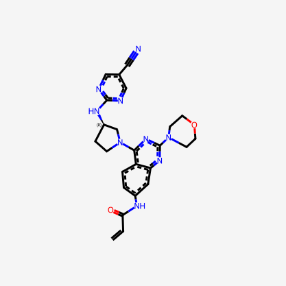 C=CC(=O)Nc1ccc2c(N3CC[C@@H](Nc4ncc(C#N)cn4)C3)nc(N3CCOCC3)nc2c1